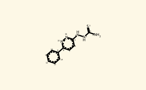 NC(=S)NNc1ccc(-c2ccccc2)nn1